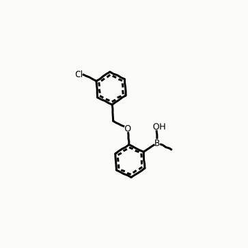 CB(O)c1ccccc1OCc1cccc(Cl)c1